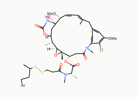 COc1cc2cc(c1Cl)N(C)C(=O)C[C@H](OC(=O)[C@H](C)N(C)C(=O)CCSSC(C)CCC(C)=O)[C@]1(C)O[C@H]1[C@H](C)[C@@H]1C[C@@](O)(NC(=O)O1)[C@H](OC)/C=C/C=C(\C)C2